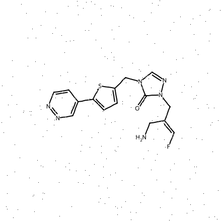 NC/C(=C\F)Cn1ncn(Cc2ccc(-c3ccnnc3)s2)c1=O